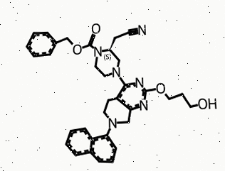 N#CC[C@H]1CN(c2nc(OCCCO)nc3c2CCN(c2cccc4ccccc24)C3)CCN1C(=O)OCc1ccccc1